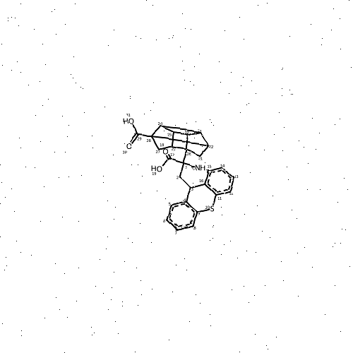 NC(CC1c2ccccc2Sc2ccccc21)(C(=O)O)C12CC3C4C5C(C1CC35C(=O)O)C42